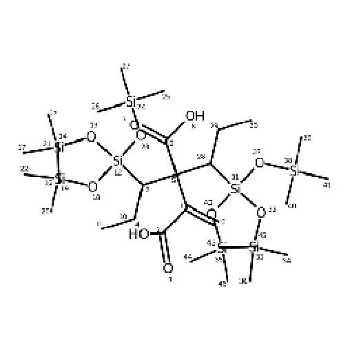 C=C(C(=O)O)C(C(=O)O)(C(CC)[Si](O[Si](C)(C)C)(O[Si](C)(C)C)O[Si](C)(C)C)C(CC)[Si](O[Si](C)(C)C)(O[Si](C)(C)C)O[Si](C)(C)C